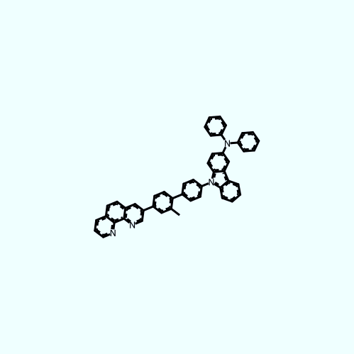 Cc1cc(-c2cnc3c(ccc4cccnc43)c2)ccc1-c1ccc(-n2c3ccccc3c3cc(N(c4ccccc4)c4ccccc4)ccc32)cc1